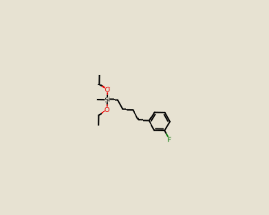 CCO[Si](C)(CCCCc1cccc(F)c1)OCC